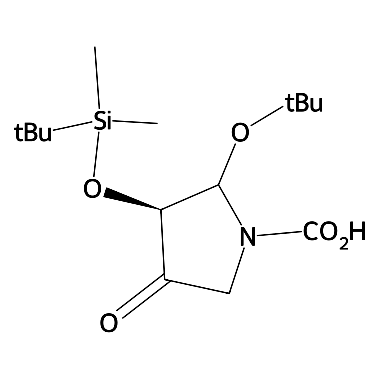 CC(C)(C)OC1[C@H](O[Si](C)(C)C(C)(C)C)C(=O)CN1C(=O)O